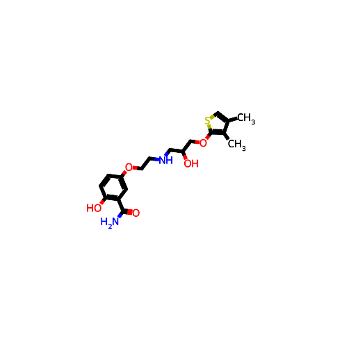 Cc1csc(OCC(O)CNCCOc2ccc(O)c(C(N)=O)c2)c1C